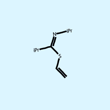 C=CS/C(=N\C(C)C)C(C)C